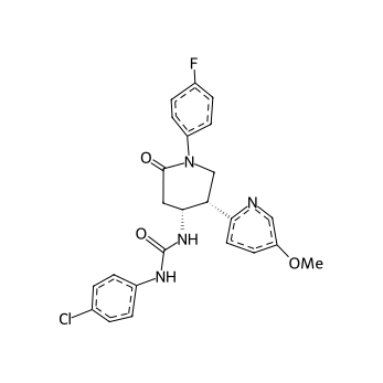 COc1ccc([C@H]2CN(c3ccc(F)cc3)C(=O)C[C@H]2NC(=O)Nc2ccc(Cl)cc2)nc1